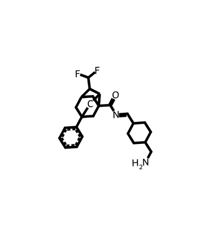 NCC1CCC(/C=N/C(=O)C23CC4CC(c5ccccc5)(CC2C4C(F)F)C3)CC1